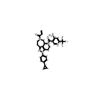 C=CC(=O)N1CCc2nn(-c3ccc(C4CC4)cc3)c3c2[C@H](C1)N(C(=O)c1cnc(C(F)(F)F)cc1N)CC3